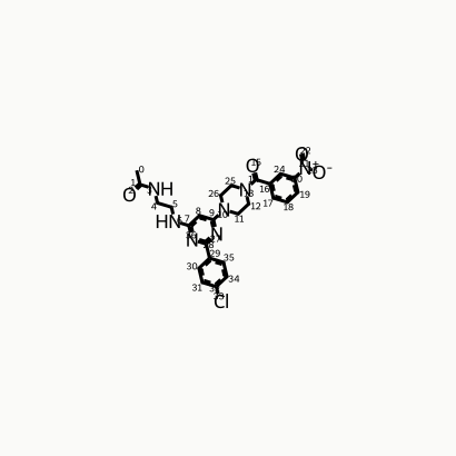 CC(=O)NCCNc1cc(N2CCN(C(=O)c3cccc([N+](=O)[O-])c3)CC2)nc(-c2ccc(Cl)cc2)n1